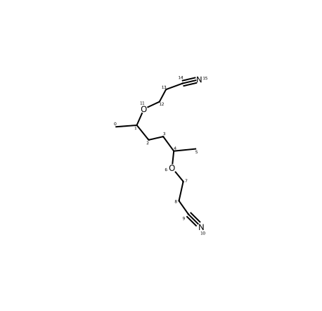 CC(CCC(C)OCCC#N)OCCC#N